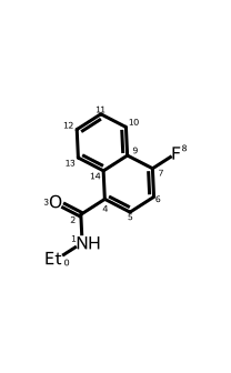 CCNC(=O)c1ccc(F)c2ccccc12